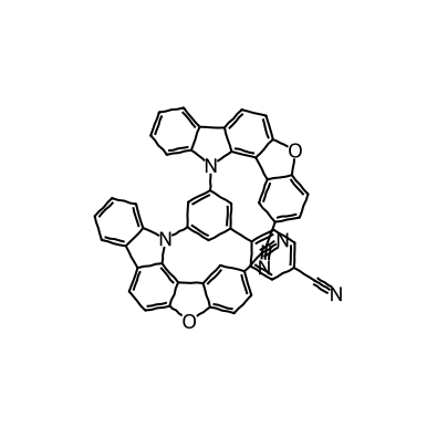 N#Cc1ccc(-c2cc(-n3c4ccccc4c4ccc5oc6ccc(C#N)cc6c5c43)cc(-n3c4ccccc4c4ccc5oc6ccc(C#N)cc6c5c43)c2)cc1